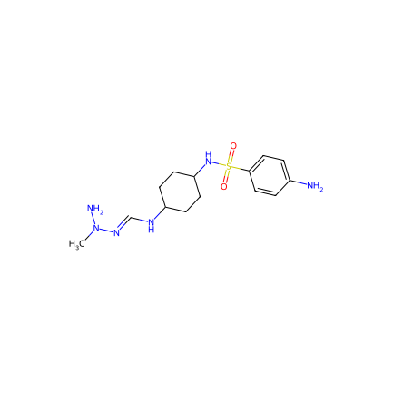 CN(N)/N=C/NC1CCC(NS(=O)(=O)c2ccc(N)cc2)CC1